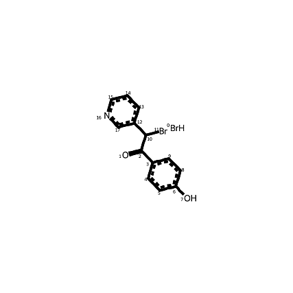 Br.O=C(c1ccc(O)cc1)C(Br)c1cccnc1